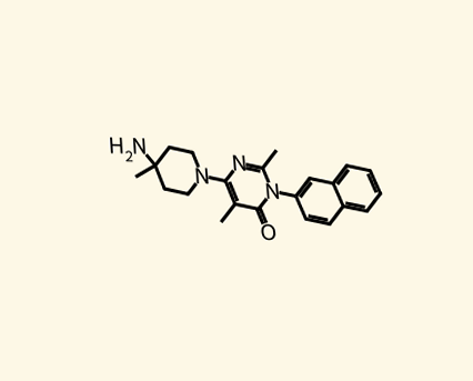 Cc1c(N2CCC(C)(N)CC2)nc(C)n(-c2ccc3ccccc3c2)c1=O